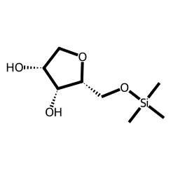 C[Si](C)(C)OC[C@H]1OC[C@@H](O)[C@H]1O